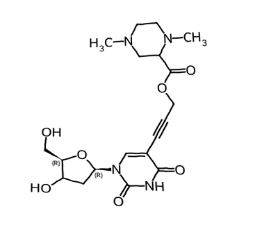 CN1CCN(C)C(C(=O)OCC#Cc2cn([C@H]3CC(O)[C@@H](CO)O3)c(=O)[nH]c2=O)C1